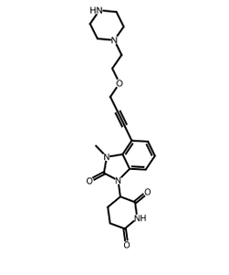 Cn1c(=O)n(C2CCC(=O)NC2=O)c2cccc(C#CCOCCN3CCNCC3)c21